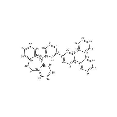 c1cc(-c2ccc3c4ccccc4c4ccccc4c3c2)cc(N2c3ccccc3CCc3ccccc32)c1